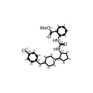 COC(=O)c1ccccc1NC(=O)NC1CCCC1N1CCC(Cc2ccc(Cl)cc2)CC1